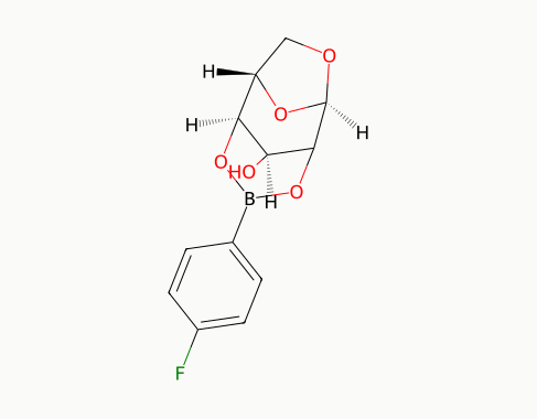 O[C@@H]1C2OB(c3ccc(F)cc3)O[C@H]1[C@@H]1CO[C@@H]2O1